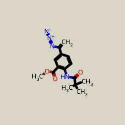 C=C(N=[N+]=[N-])c1ccc(NC(=O)C(C)(C)C)c(C(=O)OC)c1